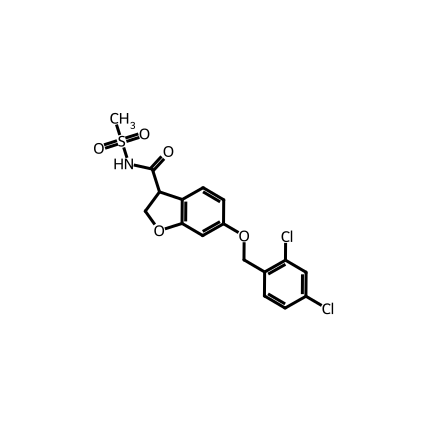 CS(=O)(=O)NC(=O)C1COc2cc(OCc3ccc(Cl)cc3Cl)ccc21